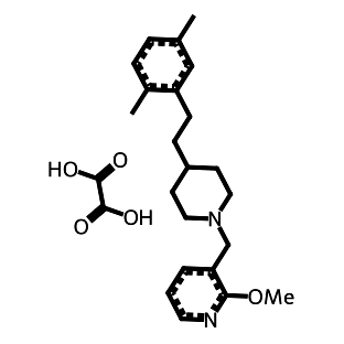 COc1ncccc1CN1CCC(CCc2cc(C)ccc2C)CC1.O=C(O)C(=O)O